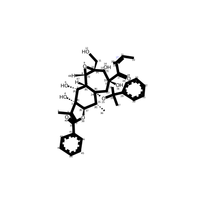 C=C(C)[C@@]1(O)[C@H](O)[C@@H]2[C@@H]3O[C@]3(CO)[C@@H](O)[C@](O)(C(=O)/C(C)=C\C)C[C@@]2(OC(C)(C)c2ccccc2)[C@H](C)[C@H]1OC(=O)c1ccccc1